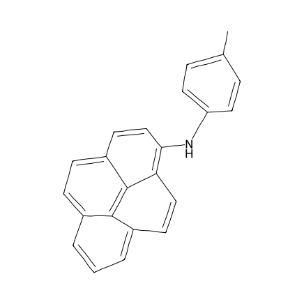 Cc1ccc(Nc2ccc3ccc4cccc5ccc2c3c45)cc1